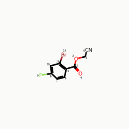 N#CCOC(=O)c1ccc(F)cc1Br